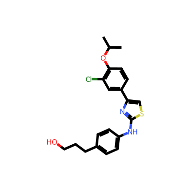 CC(C)Oc1ccc(-c2csc(Nc3ccc(CCCO)cc3)n2)cc1Cl